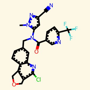 Cn1nc(C#N)cc1N(Cc1ccc2c3c(c(Cl)nc2c1)COC3)C(=O)c1ccc(C(F)(F)F)nc1